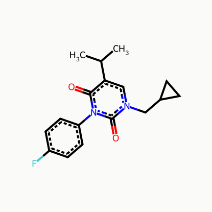 CC(C)c1cn(CC2CC2)c(=O)n(-c2ccc(F)cc2)c1=O